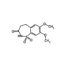 COc1cc2c(cc1OC)S(=O)(=O)NC(=O)CC2